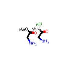 COC(=O)CN.COC(=O)CN.Cl